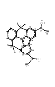 CC1(C)c2cccc3c2-n2c4c1cc(B(O)O)cc4c1cc(B(O)O)cc(c12)C3(C)C